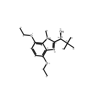 CCOc1ccc(OCC)c2c1nc([C@@H](O)C(C)(C)C)n2C